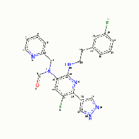 O=CN(Cc1ccccn1)c1cc(F)c(-c2cn[nH]c2)nc1NCCc1cccc(F)c1